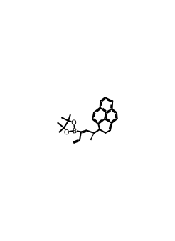 C=C/C(=C\[C@H](C)C1CC=c2ccc3cccc4ccc1c2c43)B1OC(C)(C)C(C)(C)O1